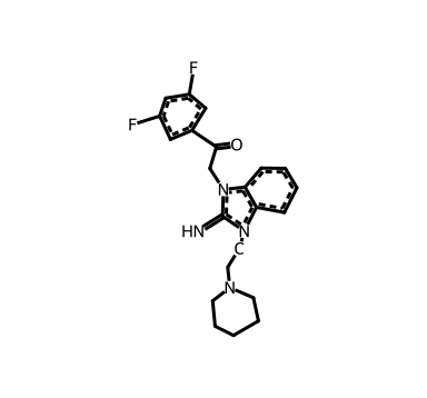 N=c1n(CCN2CCCCC2)c2ccccc2n1CC(=O)c1cc(F)cc(F)c1